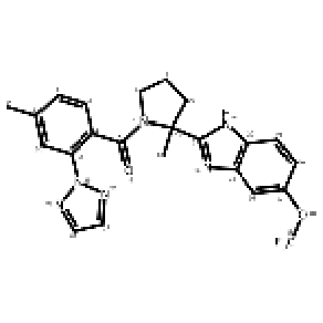 Cc1ccc(C(=O)N2CCCC2(C)c2nc3cc(OC(F)(F)F)ccc3[nH]2)c(-n2nccn2)c1